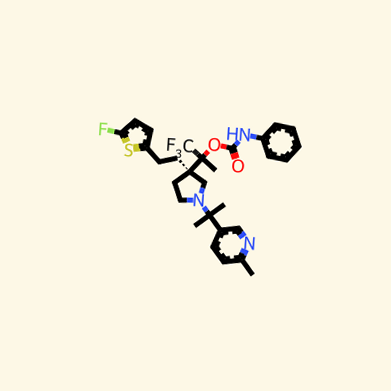 Cc1ccc(C(C)(C)N2CC[C@@](CCc3ccc(F)s3)(C(C)(OC(=O)Nc3ccccc3)C(F)(F)F)C2)cn1